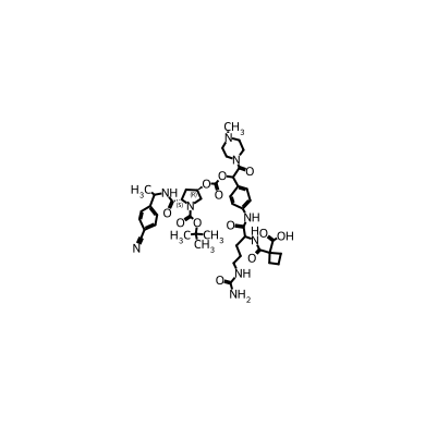 CC(NC(=O)[C@@H]1C[C@@H](OC(=O)OC(C(=O)N2CCN(C)CC2)c2ccc(NC(=O)C(CCCNC(N)=O)NC(=O)C3(C(=O)O)CCC3)cc2)CN1C(=O)OC(C)(C)C)c1ccc(C#N)cc1